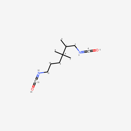 CC(CN=C=O)C(C)(C)CCCN=C=O